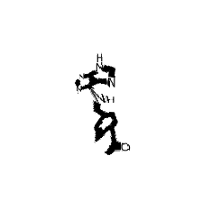 CC(=O)c1ccc(CNc2ncnc3[nH]cnc23)cc1